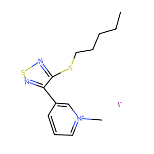 CCCCCSc1nsnc1-c1ccc[n+](C)c1.[I-]